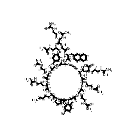 CC(=O)N[C@@H](CCCNC(=N)N)C(=O)N[C@@H](CCCNC(=N)N)C(=O)N[C@@H](Cc1ccc2ccccc2c1)C(=O)N[C@H]1CSSC[C@@H](C(=O)N[C@@H](CCCNC(=N)N)C(N)=O)NC(=O)[C@H](CCCNC(N)=O)NC(=O)[C@H](CCCNC(=N)N)NC(=O)[C@H](Cc2ccc(O)cc2)NC(=O)[C@@H]2CCCN2C(=O)[C@@H](CCCCN)NC(=O)[C@H](CCCNC(=N)N)NC(=O)[C@H](CCCNC(N)=O)NC(=O)[C@H](Cc2ccc(O)cc2)NC1=O